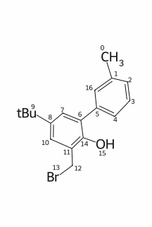 Cc1cccc(-c2cc(C(C)(C)C)cc(CBr)c2O)c1